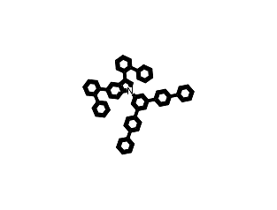 c1ccc(-c2ccc(-c3cc(-c4ccc(-c5ccccc5)cc4)cc(-n4cc(-c5ccccc5-c5ccccc5)c5cc(-c6ccccc6-c6ccccc6)ccc54)c3)cc2)cc1